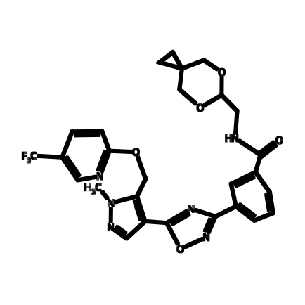 Cn1ncc(-c2nc(-c3cccc(C(=O)NCC4OCC5(CC5)CO4)c3)no2)c1COc1ccc(C(F)(F)F)cn1